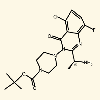 C[C@H](N)c1nc2c(F)ccc(Cl)c2c(=O)n1N1CCN(C(=O)OC(C)(C)C)CC1